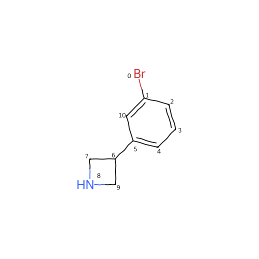 Brc1cccc(C2CNC2)c1